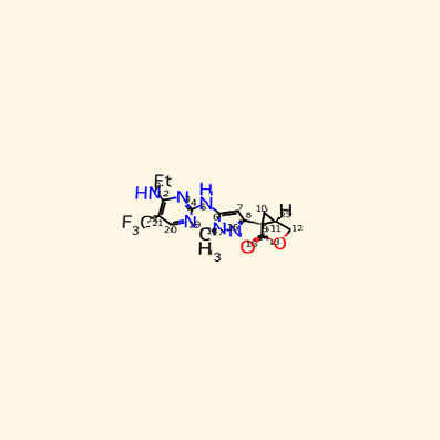 CCNc1nc(Nc2cc([C@@]34C[C@@H]3COC4=O)nn2C)ncc1C(F)(F)F